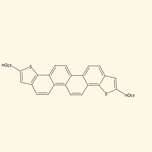 CCCCCCCCc1cc2ccc3c4ccc5c(ccc6cc(CCCCCCCC)sc65)c4ccc3c2s1